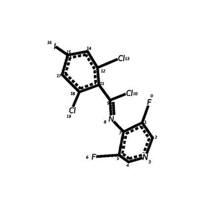 Fc1cncc(F)c1/N=C(\Cl)c1c(Cl)cc(I)cc1Cl